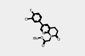 CC(C)(C)OC(=O)CN1C(=O)CCc2cc(-c3ccc(F)c(Cl)c3)cnc21